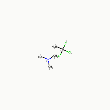 CN(C)C.[SiH3][Si](Cl)(Cl)Cl